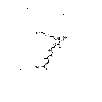 C=N/C=C(\NCCCCCOCCC)C(=O)NCCN(C)CC(C)CC(C)/C=C\C=C(/CC)OC